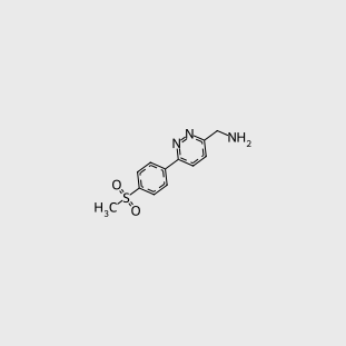 CS(=O)(=O)c1ccc(-c2ccc(CN)nn2)cc1